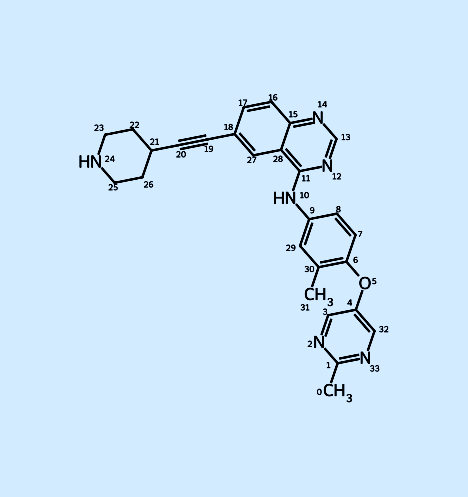 Cc1ncc(Oc2ccc(Nc3ncnc4ccc(C#CC5CCNCC5)cc34)cc2C)cn1